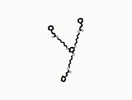 O=C(/C=C/c1ccccc1)OCCCCCCOc1cc(OCCCCCCOC(=O)/C=C/c2ccccc2)cc(OCCCCCCOC(=O)/C=C/c2ccccc2)c1